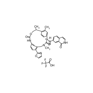 Cc1cc2ccc1C(C)COC(=O)Nc1ccc(-c3ncco3)c(c1)CN(C)C(=O)[C@@H]2Nc1ccc2cc[nH]c(=O)c2c1.O=C(O)C(F)(F)F